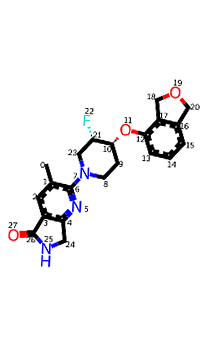 Cc1cc2c(nc1N1CC[C@@H](Oc3cccc4c3COC4)[C@@H](F)C1)CNC2=O